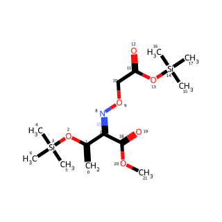 C=C(O[Si](C)(C)C)/C(=N/OCC(=O)O[Si](C)(C)C)C(=O)OC